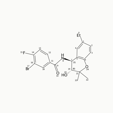 CCc1ccc2c(c1)[C@H](NC(=O)c1ccc(F)c(Br)c1)[C@@H](O)C(C)(C)O2